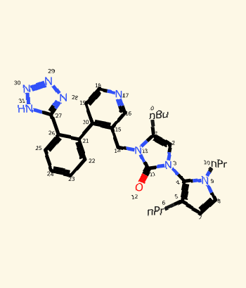 CCCCc1cn(-c2c(CCC)ccn2CCC)c(=O)n1Cc1cnccc1-c1ccccc1-c1nnn[nH]1